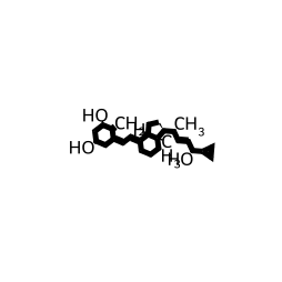 C=C1/C(=C\C=C2/CCC[C@]3(C)[C@@H]([C@H](C)/C=C/[C@H](O)C4CC4)CC[C@@H]23)C[C@@H](O)C[C@@H]1O